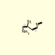 C=N/C=C\C(=C/N)CC